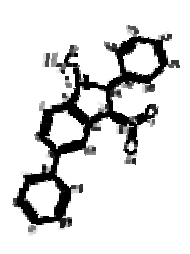 CN1c2ccc(-c3ccccc3)cc2C(=S(=O)=O)C1c1ccccc1